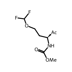 COC(=O)N[C@@H](CCOC(F)F)C(C)=O